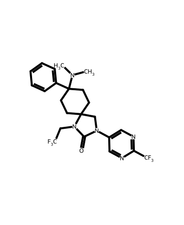 CN(C)C1(c2ccccc2)CCC2(CC1)CN(c1cnc(C(F)(F)F)nc1)C(=O)N2CC(F)(F)F